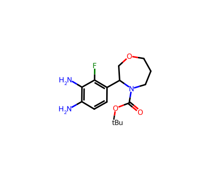 CC(C)(C)OC(=O)N1CCCOCC1c1ccc(N)c(N)c1F